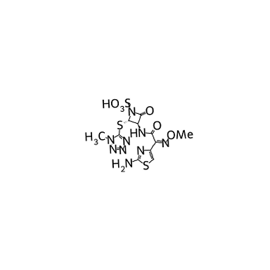 CO/N=C(\C(=O)N[C@@H]1C(=O)N(S(=O)(=O)O)[C@H]1Sc1nnnn1C)c1csc(N)n1